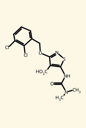 CN(C)C(=O)Nc1snc(OCc2cccc(Cl)c2Cl)c1C(=O)O